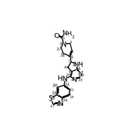 NC(=O)N1CC=C(C2Cc3c(Nc4ccc5ncsc5c4)ncnc3N2)CC1